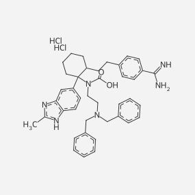 Cc1nc2cc(C3(N(CCN(Cc4ccccc4)Cc4ccccc4)C(=O)O)CCCCC3CCc3ccc(C(=N)N)cc3)ccc2[nH]1.Cl.Cl